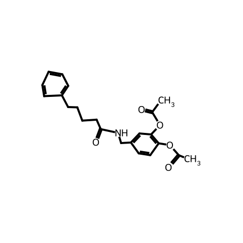 CC(=O)Oc1ccc(CNC(=O)CCCCc2ccccc2)cc1OC(C)=O